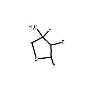 CC1(F)CSC(F)C1F